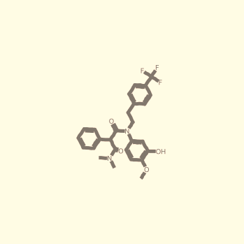 COc1ccc(N(CCc2ccc(C(F)(F)F)cc2)C(=O)C(C(=O)N(C)C)c2ccccc2)cc1O